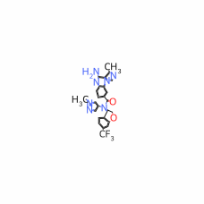 Cc1ncn2c1c(N)nc1ccc(C(=O)N(c3cnn(C)c3)[C@@H]3COc4cc(C(F)(F)F)ccc43)cc12